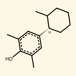 Cc1cc([C@H]2CCCCC2C)cc(C)c1O